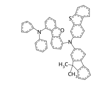 CC1(C)c2ccccc2-c2ccc(N(c3ccc4c(c3)sc3ccccc34)c3cccc4c3oc3cccc(N(c5ccccc5)c5ccccc5)c34)cc21